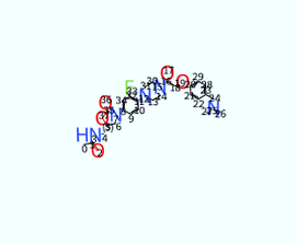 CC(=O)NC[C@H]1CN(c2ccc(N3CCN(C(=O)COc4ccc(CN(C)C)cc4)CC3)c(F)c2)C(=O)O1